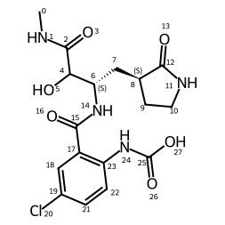 CNC(=O)C(O)[C@H](C[C@@H]1CCNC1=O)NC(=O)c1cc(Cl)ccc1NC(=O)O